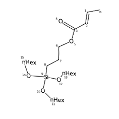 CC=CC(=O)OCCC[Si](OCCCCCC)(OCCCCCC)OCCCCCC